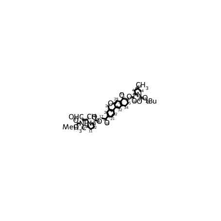 COC(=O)N[C@H](C=O)C(C)N1[C@@H](C)CC[C@H]1C(=O)OCC(=O)c1ccc2c(c1)COc1cc3c(cc1-2)CCC(OC(=O)[C@@H]1C[C@H](C)CN1C(=O)OC(C)(C)C)C3=O